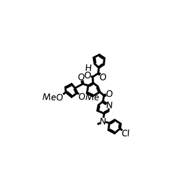 COc1ccc(C(=O)c2ccc(C(=O)c3ccc(N(C)c4ccc(Cl)cc4)cn3)cc2C(O)C(=O)c2ccccc2)c(OC)c1